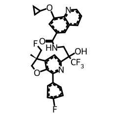 C[C@]1(CF)COc2c1cc(C(O)(CNC(=O)c1cc(OC3CC3)c3ncccc3c1)C(F)(F)F)nc2-c1ccc(F)cc1